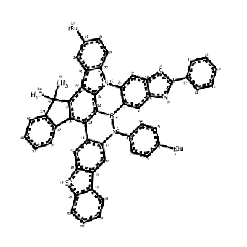 CC(C)(C)c1ccc(N2B3c4cc5nc(-c6ccccc6)sc5cc4-n4c5ccc(C(C)(C)C)cc5c5c6c(c(c3c54)-c3cc4sc5ccccc5c4cc32)-c2ccccc2C6(C)C)cc1